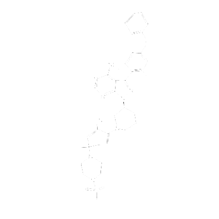 CC(C)(/C=C(/C#N)C(=O)N1CCC[C@H](n2nc(-c3ccc(Oc4ccccc4)cc3F)c3c(N)ncnc32)C1)N1CCN(S(C)(=O)=O)CC1